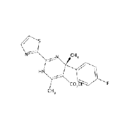 CCOC(=O)C1=C(C)NC(c2nccs2)=N[C@]1(C)c1ccc(F)cc1